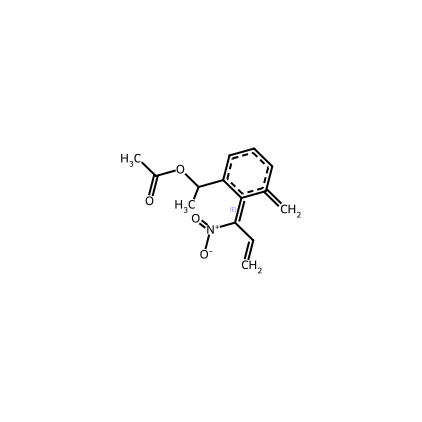 C=C/C(=c1/c(C(C)OC(C)=O)cccc1=C)[N+](=O)[O-]